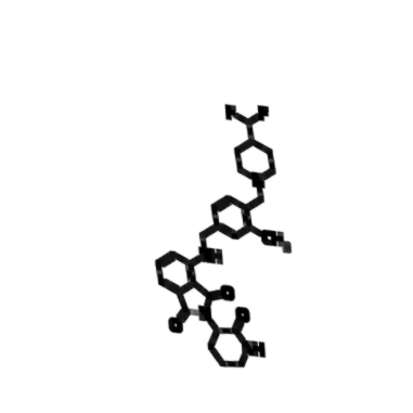 Cc1cc(CNc2cccc3c2C(=O)N(C2CCCNC2=O)C3=O)ccc1CN1CCC(C(F)F)CC1